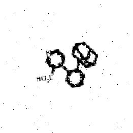 O=C(O)c1cnccc1-c1ccccc1C12CC3CC(CC(C3)C1)C2